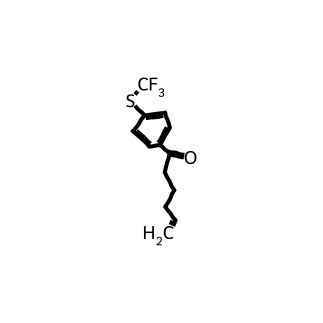 C=CCCCC(=O)c1ccc(SC(F)(F)F)cc1